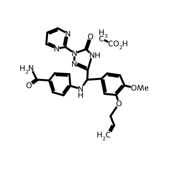 C=CCOc1cc(C(Nc2ccc(C(N)=O)cc2)c2nn(-c3ncccn3)c(=O)[nH]2)ccc1OC.CC(=O)O